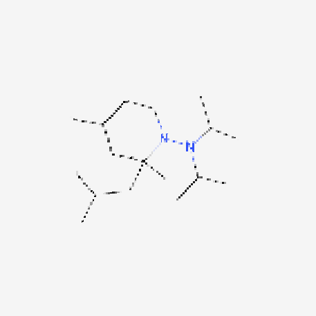 CC(C)CC1(C)CC(C)CCN1N(C(C)C)C(C)C